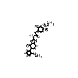 CCS(=O)(=O)c1ccc(CC(=O)Nc2nc3c(s2)C(=O)C(c2ccccc2OC)CC3)c(F)c1